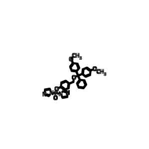 COc1ccc(C(OCc2ccc(OP(=O)(n3ccnc3)n3ccnc3)cc2)(c2ccccc2)c2ccc(OC)cc2)cc1